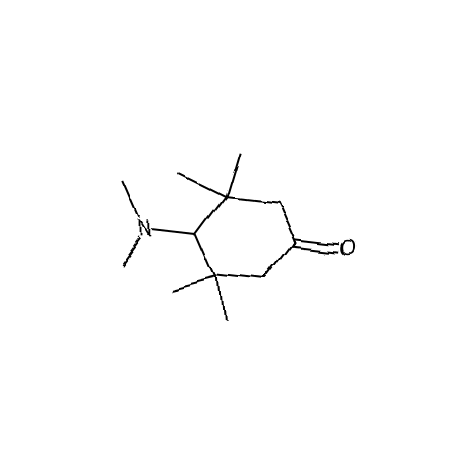 CN(C)C1C(C)(C)CC(=O)CC1(C)C